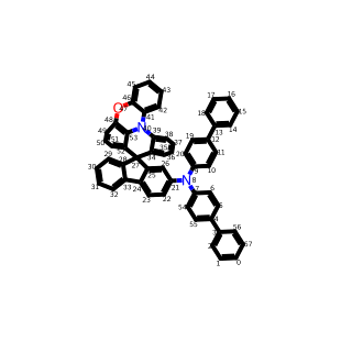 c1ccc(-c2ccc(N(c3ccc(-c4ccccc4)cc3)c3ccc4c(c3)C3(c5ccccc5-4)c4ccccc4N4c5ccccc5Oc5cccc3c54)cc2)cc1